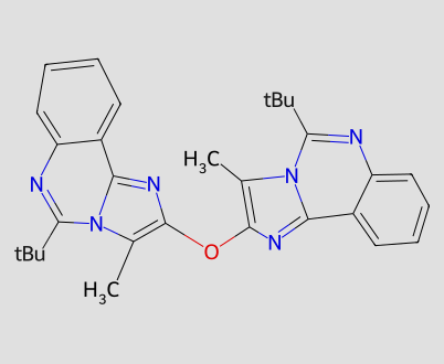 Cc1c(Oc2nc3c4ccccc4nc(C(C)(C)C)n3c2C)nc2c3ccccc3nc(C(C)(C)C)n12